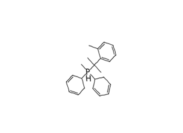 Cc1ccccc1C(C)(C)[PH](C)(C1C=CC=CC1)C1C=CC=CC1